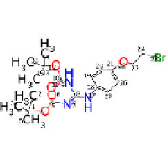 CC(C)(C)OC(=O)/N=C(\NC(=O)OC(C)(C)C)Nc1ccc(OCCBr)cc1